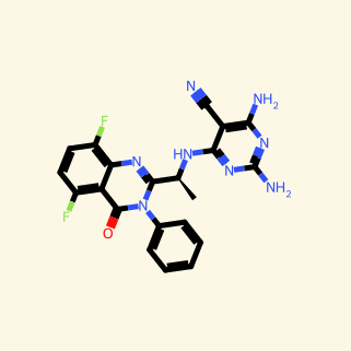 C[C@H](Nc1nc(N)nc(N)c1C#N)c1nc2c(F)ccc(F)c2c(=O)n1-c1ccccc1